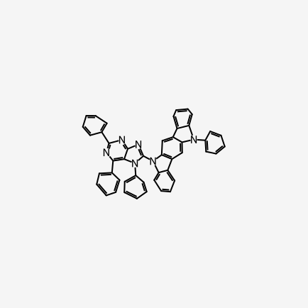 c1ccc(-c2nc(-c3ccccc3)c3c(n2)nc(-n2c4ccccc4c4cc5c(cc42)c2ccccc2n5-c2ccccc2)n3-c2ccccc2)cc1